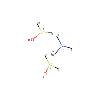 CC(=O)N(C)C.C[S+](C)[O-].C[S+](C)[O-]